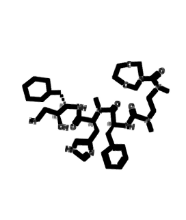 CC(C)C[C@H](O)[C@H](CC1CCCCC1)NC(=O)[C@H](Cc1c[nH]cn1)N(C)C(=O)[C@H](Cc1ccccc1)NC(=O)N(C)CCN(C)C(=O)N1CCCCCC1